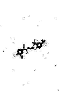 CCC(C)(C)c1ccc(OCCCC(=O)Nc2ccc(Cl)c([NH])c2)c(C(C)(C)CC)c1